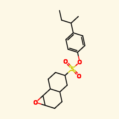 CCC(C)c1ccc(OS(=O)(=O)C2CCC3C(CCC4OC43)C2)cc1